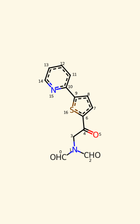 O=CN(C=O)CC(=O)c1ccc(-c2ccccn2)s1